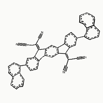 N#CC(C#N)=C1c2cc(-c3cccc4ccccc34)ccc2-c2cc3c(cc21)-c1ccc(-c2cccc4ccccc24)cc1C3=C(C#N)C#N